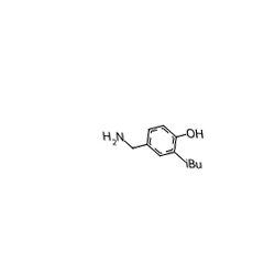 CCC(C)c1cc(CN)ccc1O